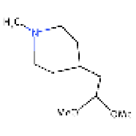 COC(CC1CCN(C)CC1)OC